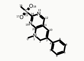 CN1CC(c2ccccc2)=Cc2cnc(S(C)(=O)=O)nc21